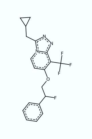 FC(COc1ccn2c(CC3CC3)nnc2c1C(F)(F)F)c1ccccc1